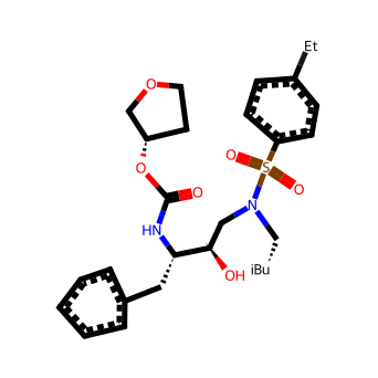 CCc1ccc(S(=O)(=O)N(C[C@@H](C)CC)C[C@@H](O)[C@H](Cc2ccccc2)NC(=O)O[C@H]2CCOC2)cc1